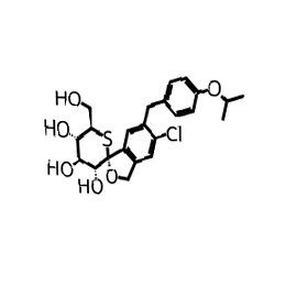 CC(C)Oc1ccc(Cc2cc3c(cc2Cl)CO[C@]32S[C@H](CO)[C@@H](O)[C@H](O)[C@H]2O)cc1